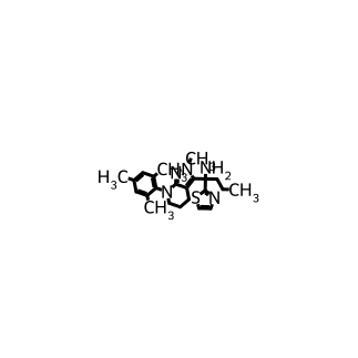 CCCC(N)(c1nccs1)c1c2c(nn1C)N(c1c(C)cc(C)cc1C)CCC2